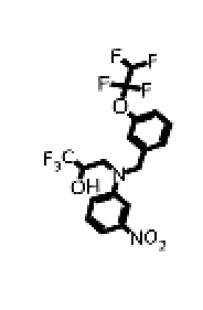 O=[N+]([O-])c1cccc(N(Cc2cccc(OC(F)(F)C(F)F)c2)CC(O)C(F)(F)F)c1